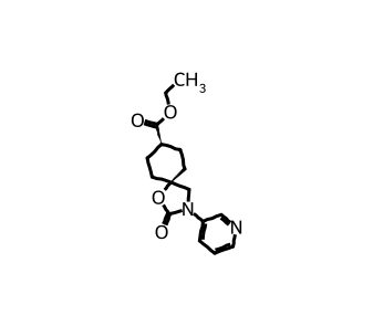 CCOC(=O)[C@H]1CC[C@@]2(CC1)CN(c1cccnc1)C(=O)O2